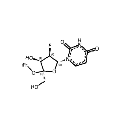 CC(C)O[C@]1(CO)O[C@@H](n2ccc(=O)[nH]c2=O)[C@H](F)[C@@H]1O